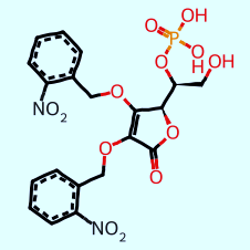 O=C1O[C@H]([C@H](CO)OP(=O)(O)O)C(OCc2ccccc2[N+](=O)[O-])=C1OCc1ccccc1[N+](=O)[O-]